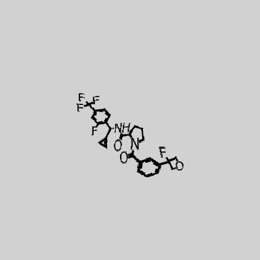 O=C(N[C@H](C1=CC1)c1ccc(C(F)(F)F)cc1F)[C@H]1CCCN1C(=O)c1cccc(C2(F)COC2)c1